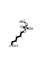 CCCCCCCCCCCCCOP(=O)(O)OCCCC